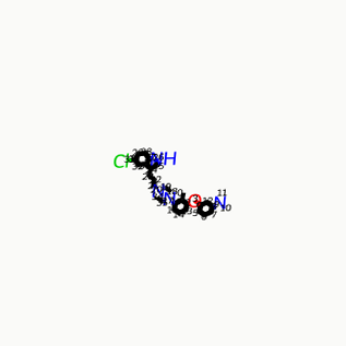 Cc1c(Oc2cccc(N(C)C)c2)cccc1N1CCN(CCCc2c[nH]c3ccc(Cl)cc23)CC1